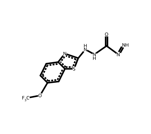 N=NC(=O)NNc1nc2ccc(OC(F)(F)F)cc2s1